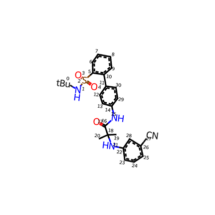 CC(C)(C)NS(=O)(=O)c1ccccc1-c1ccc(NC(=O)C(C)(C)Nc2cccc(C#N)c2)cc1